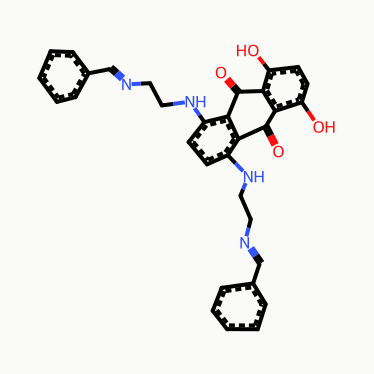 O=C1c2c(O)ccc(O)c2C(=O)c2c(NCC/N=C/c3ccccc3)ccc(NCC/N=C/c3ccccc3)c21